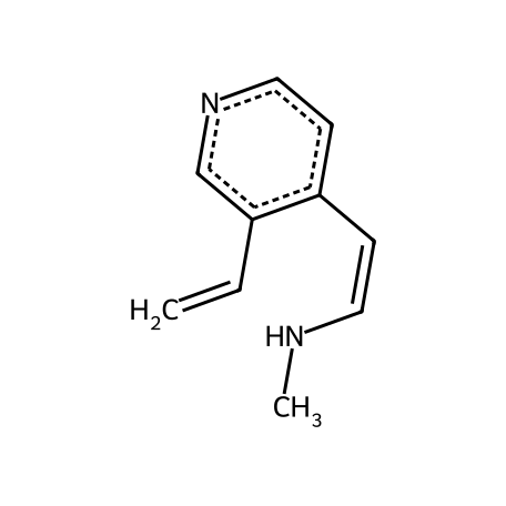 C=Cc1cnccc1/C=C\NC